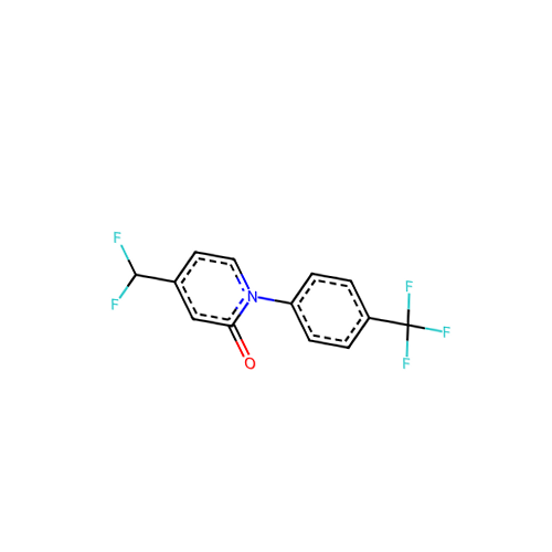 O=c1cc(C(F)F)ccn1-c1ccc(C(F)(F)F)cc1